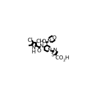 Cc1[nH]c(C(=O)N[C@H]2CCN(c3ncc(C(=O)O)s3)C[C@@H]2C(=O)N2CCOCC2)c(Cl)c1Cl